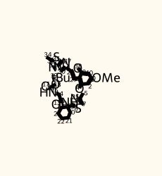 COc1cc(OCc2csc(C3(NC(=O)CNC(=O)OC(C)(C)C)CCCCC3)n2)c2cc(-c3cn4nc(C)sc4n3)oc2c1